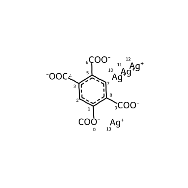 O=C([O-])c1cc(C(=O)[O-])c(C(=O)[O-])cc1C(=O)[O-].[Ag+].[Ag+].[Ag+].[Ag+]